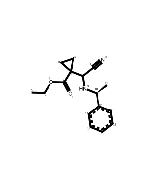 CCOC(=O)C1(C(C#N)N[C@@H](C)c2ccccc2)CC1